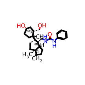 C=C1CC[C@H]2[C@H](CNC(=O)Nc3ccccc3)[C@@H]([C@]3(C)CC[C@H](O)C[C@@H]3CO)CC[C@]12C